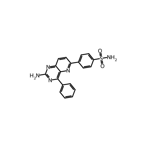 Nc1nc(-c2ccccc2)c2nc(-c3ccc(S(N)(=O)=O)cc3)ccc2n1